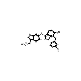 N#Cc1ccc2c(c1Cc1cccc(F)c1)CC[C@H]2Oc1ccc2c(c1)OCC2CC(=O)O